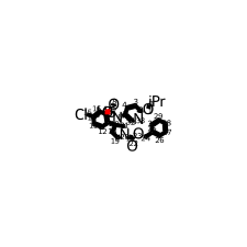 CC(C)Oc1ccc(N([SH](=O)=O)C2(c3ccc(Cl)cc3)CCN(C(=O)OCc3ccccc3)C2)cn1